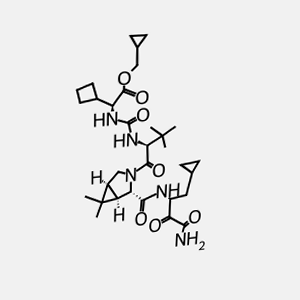 CC(C)(C)[C@H](NC(=O)N[C@H](C(=O)OCC1CC1)C1CCC1)C(=O)N1C[C@H]2[C@@H]([C@H]1C(=O)NC(CC1CC1)C(=O)C(N)=O)C2(C)C